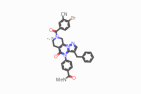 CNC(=O)c1ccc(-n2c(=O)c3c(n4ncc(Cc5ccccc5)c24)CN(C(=O)c2ccc(Br)c(C#N)c2)[C@@H](C)C3)cc1